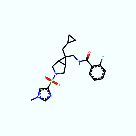 Cn1cnc(S(=O)(=O)N2CC3C(C2)C3(CNC(=O)c2ccccc2Cl)CC2CC2)c1